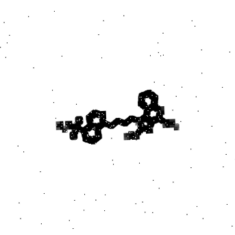 CCCCc1nc2c(N)nc3ccccc3c2n1CCCCc1nccc2c(S(N)(=O)=O)cccc12